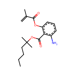 C=C(C)C(=O)Oc1cccc(N)c1C(=O)OC(C)(C)CCCC